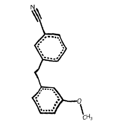 COc1cccc(Cc2cccc(C#N)c2)c1